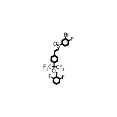 [O-][S+](/C=C/c1ccc(C(OCc2c(F)cccc2F)(C(F)(F)F)C(F)(F)F)cc1)c1ccc(F)c(Br)c1